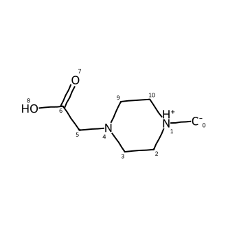 [CH2-][NH+]1CCN(CC(=O)O)CC1